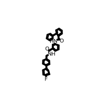 O=C(NCc1ccc(-c2ccc(F)cc2)cc1)c1cccc(NC(=O)c2ccccc2-c2ccccc2)c1